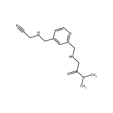 CN(C)C(=O)CNCc1cc(CNCC#N)ccn1